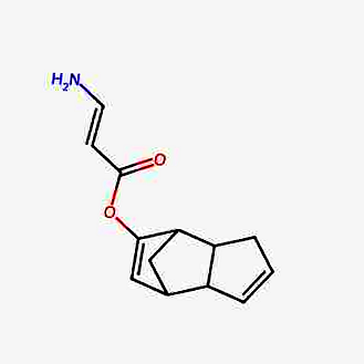 N/C=C/C(=O)OC1=CC2CC1C1CC=CC21